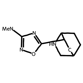 CNc1noc(C2CC3CCC2NC3)n1